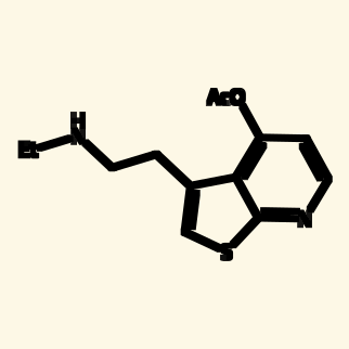 CCNCCc1csc2nccc(OC(C)=O)c12